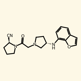 N#C[C@@H]1CCCN1C(=O)CN1CC[C@H](Nc2cccc3ccoc23)C1